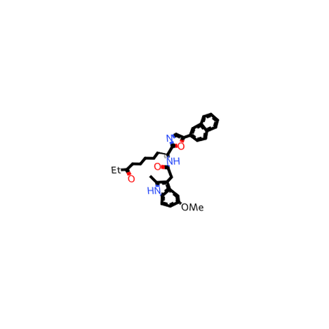 CCC(=O)CCCCC[C@H](NC(=O)Cc1c(C)[nH]c2ccc(OC)cc12)c1ncc(-c2ccc3ccccc3c2)o1